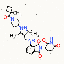 Cc1nn(C2CCN(C(=O)C3(C)CCC3)CC2)c(C)c1CNc1cccc2c1C(=O)N(C1CCC(=O)NC1=O)C2=O